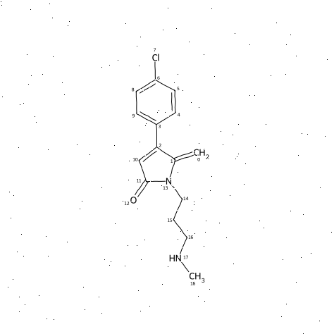 C=C1C(c2ccc(Cl)cc2)=CC(=O)N1CCCNC